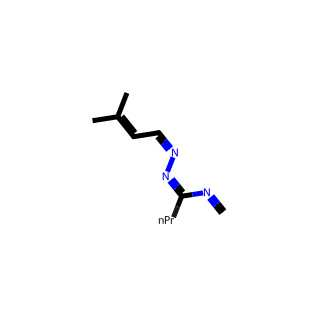 C=N/C(CCC)=N\N=C/C=C(C)C